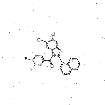 O=C(c1ccc(F)c(F)c1)n1c(-c2cccc3ccccc23)nc2cc(Cl)c(Cl)cc21